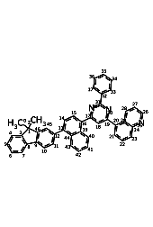 CC1(C)c2ccccc2-c2ccc(-c3ccc(-c4cc(-c5cccc6ncccc56)nc(-c5ccccc5)n4)c4ccccc34)cc21